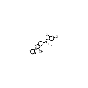 CN(Cc1ccc(Cl)cc1Cl)C1CCc2nn(-c3ccccn3)c(O)c2C1